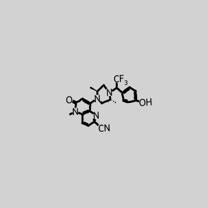 C[C@@H]1CN(c2cc(=O)n(C)c3ccc(C#N)nc23)[C@@H](C)CN1C(c1ccc(O)cc1)C(F)(F)F